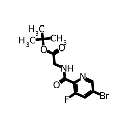 CC(C)(C)OC(=O)CNC(=O)c1ncc(Br)cc1F